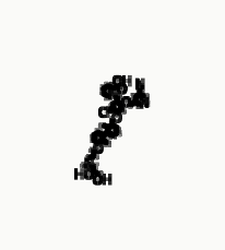 Cc1c(COc2cc(OCc3cncc(C#N)c3)c(CN3CCCCC3C(=O)O)cc2Cl)cccc1-c1cccc(OCCCN(C)CC(O)CO)c1C